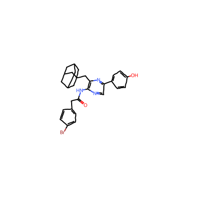 O=C(Cc1ccc(Br)cc1)Nc1ncc(-c2ccc(O)cc2)nc1CC12CC3CC(CC(C3)C1)C2